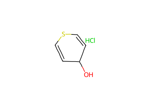 Cl.OC1C=CSC=C1